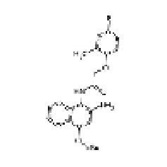 CCCCOc1cc(N)c(NC(=O)COc2ccc(F)cc2C)c2ccccc12